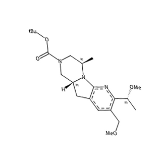 COCc1cc2c(nc1[C@@H](C)OC)N1[C@H](C2)CN(C(=O)OC(C)(C)C)C[C@H]1C